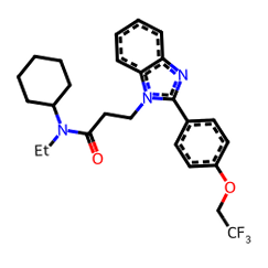 CCN(C(=O)CCn1c(-c2ccc(OCC(F)(F)F)cc2)nc2ccccc21)C1CCCCC1